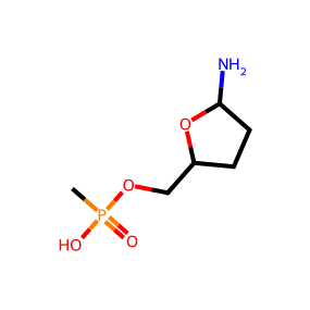 CP(=O)(O)OCC1CCC(N)O1